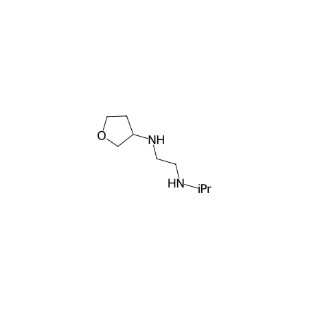 CC(C)NCCNC1CCOC1